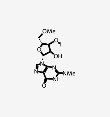 CNc1nc2c(ncn2[C@@H]2O[C@H](COC)C(OI)C2O)c(=O)[nH]1